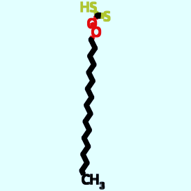 CCCCCCCCCCCCCCCCCCOOC(=S)S